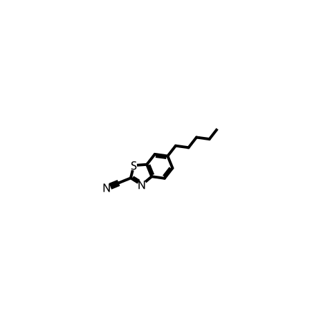 CCCCCc1ccc2nc(C#N)sc2c1